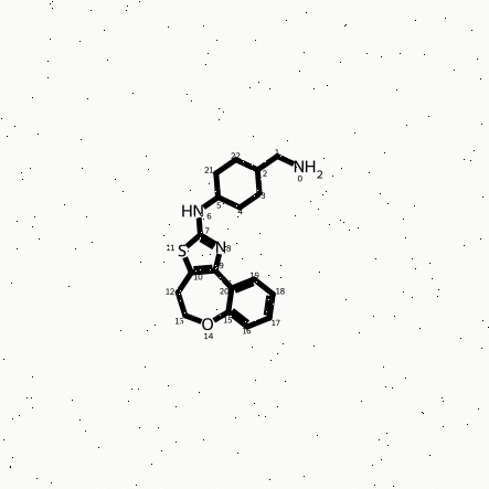 NCC1CCC(Nc2nc3c(s2)CCOc2ccccc2-3)CC1